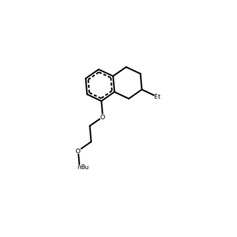 CCCCOCCOc1cccc2c1CC(CC)CC2